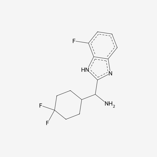 NC(c1nc2cccc(F)c2[nH]1)C1CCC(F)(F)CC1